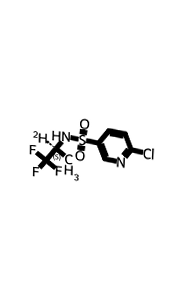 [2H][C@@](C)(NS(=O)(=O)c1ccc(Cl)nc1)C(F)(F)F